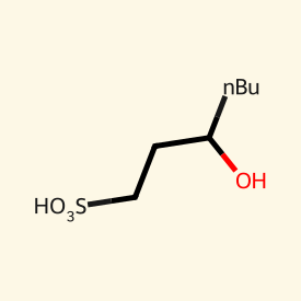 CCCCC(O)CCS(=O)(=O)O